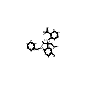 CCCC(CC)(Pc1ccccc1C(C)=O)c1cc(C)ccc1OCc1ccccc1